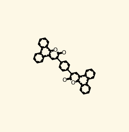 O=c1oc2c3ccccc3c3ccccc3c2cc1-c1ccc(-c2cc3c4ccccc4c4ccccc4c3oc2=O)cc1